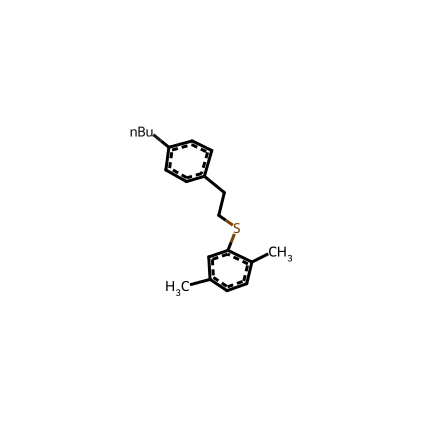 CCCCc1ccc(CCSc2cc(C)ccc2C)cc1